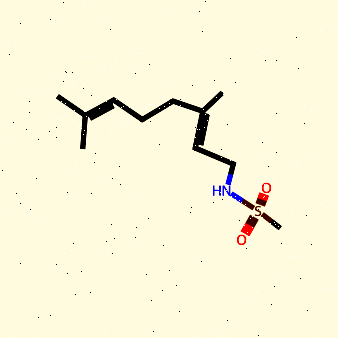 CC(C)=CCCC(C)=CCNS(C)(=O)=O